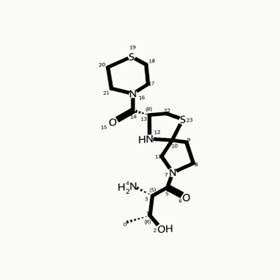 C[C@@H](O)[C@H](N)C(=O)N1CCC2(C1)N[C@H](C(=O)N1CCSCC1)CS2